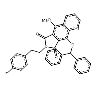 COc1c2c(c(OC(c3ccccc3)c3ccccc3)c3ncccc13)C(=O)N(CCc1ccc(F)cc1)C2=O